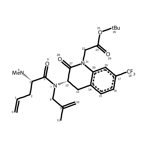 C=CC[C@H](NC)C(=O)N(CC(=C)C)[C@H]1Cc2ccc(C(F)(F)F)cc2N(CC(=O)OC(C)(C)C)C1=O